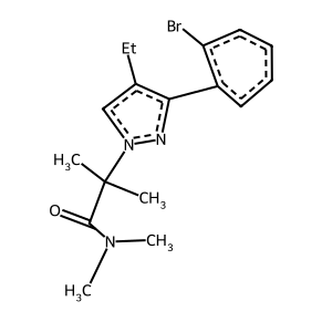 CCc1cn(C(C)(C)C(=O)N(C)C)nc1-c1ccccc1Br